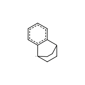 c1ccc2c(c1)[C]1CCC2CC1